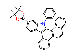 CC1(C)OB(c2ccc3c4c5ccccc5c5ccc6ccccc6c5c4n(-c4ccccc4)c3c2)OC1(C)C